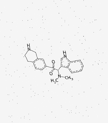 CN(C)C(c1c[nH]c2ccccc12)S(=O)(=O)c1ccc2c(c1)CNCC2